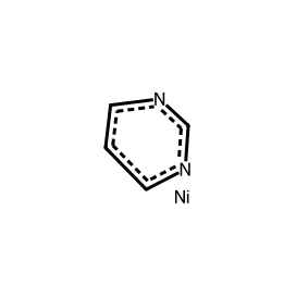 [Ni].c1cncnc1